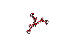 c1ccc2c(c1)oc1ccc(-c3ccc4c(c3)c3ccccc3n4-c3ccc(-c4ccc(-c5ccc6nc(-c7ccc(-n8c9ccccc9c9cc(-c%10ccc%11oc%12ccccc%12c%11c%10)ccc98)cc7)nc(-c7ccc(-n8c9ccccc9c9cc(-c%10ccc%11oc%12ccccc%12c%11c%10)ccc98)cc7)c6c5)cc4)cc3)cc12